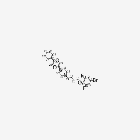 Fc1cc(Br)cc(F)c1OCCCCN1CCN(C2=COC(C3=CC=CCC3)=CO2)CC1